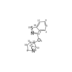 c1ccc2c(OC3CN4CCC3CC4)nsc2c1